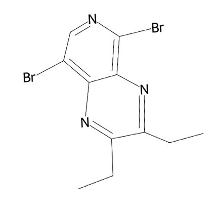 CCc1nc2c(Br)cnc(Br)c2nc1CC